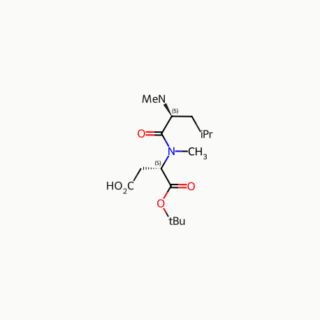 CN[C@@H](CC(C)C)C(=O)N(C)[C@@H](CC(=O)O)C(=O)OC(C)(C)C